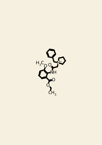 CCOC(=O)c1cccc(OC)c1NC(=O)C[N+]1(Cc2ccccc2)CCCC1